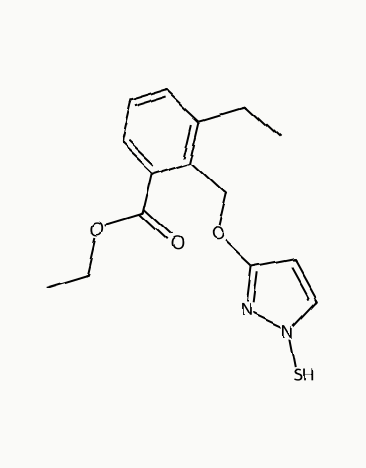 CCOC(=O)c1cccc(CC)c1COc1ccn(S)n1